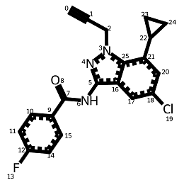 C#CCn1nc(NC(=O)c2ccc(F)cc2)c2cc(Cl)cc(C3CC3)c21